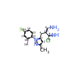 Cc1cc(C/C(=C/N)C(=N)Cl)n(-c2ccc(F)cc2I)n1